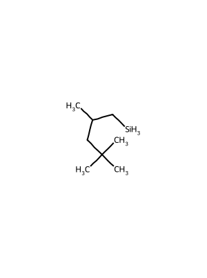 CC(C[SiH3])CC(C)(C)C